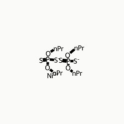 CCCOP(=S)([S-])OCCC.CCCOP(=S)([S-])OCCC.[Ni+2]